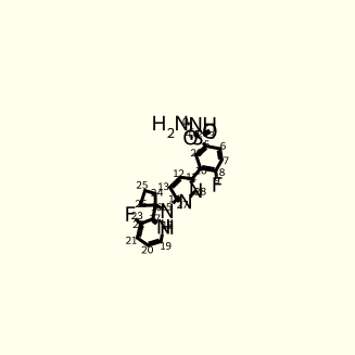 NNS(=O)(=O)c1ccc(F)c(-c2ccc(NC3(c4ncccc4F)CCC3)nn2)c1